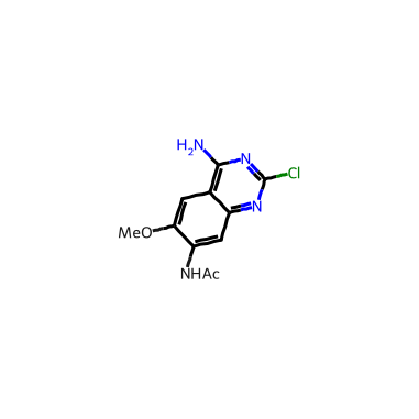 COc1cc2c(N)nc(Cl)nc2cc1NC(C)=O